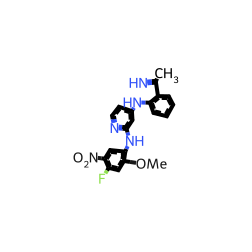 COc1cc(F)c([N+](=O)[O-])cc1Nc1cc(Nc2ccccc2C(C)=N)ccn1